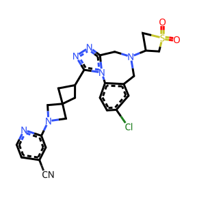 N#Cc1ccnc(N2CC3(CC(c4nnc5n4-c4ccc(Cl)cc4CN(C4CS(=O)(=O)C4)C5)C3)C2)c1